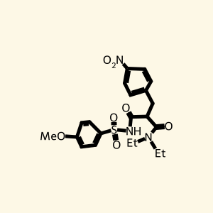 CCN(CC)C(=O)C(Cc1ccc([N+](=O)[O-])cc1)C(=O)NS(=O)(=O)c1ccc(OC)cc1